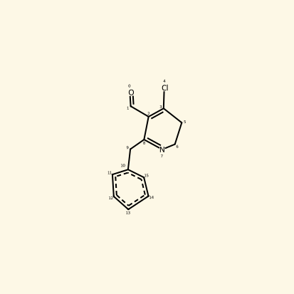 O=CC1=C(Cl)CCN=C1Cc1ccccc1